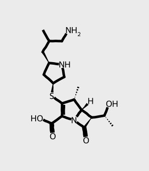 CC(CN)C[C@@H]1C[C@H](SC2=C(C(=O)O)N3C(=O)[C@H]([C@@H](C)O)[C@H]3[C@H]2C)CN1